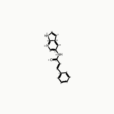 O=C(C=Cc1ccccc1)Nc1cnc2[nH]ccc2c1